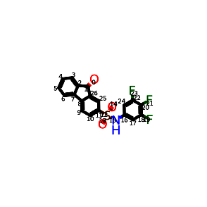 O=C1c2ccccc2-c2ccc(S(=O)(=O)Nc3cc(F)c(F)c(F)c3)cc21